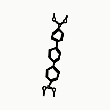 COB(OC)c1ccc(-c2ccc(-c3ccc(B(OC)OC)cc3)cc2)cc1